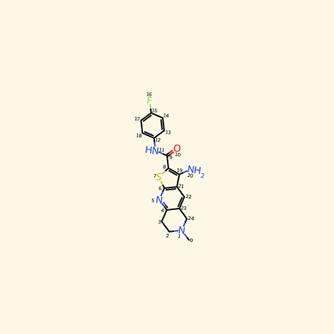 CN1CCc2nc3sc(C(=O)Nc4ccc(F)cc4)c(N)c3cc2C1